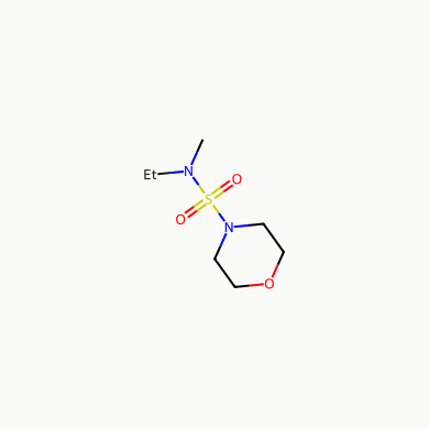 CCN(C)S(=O)(=O)N1CCOCC1